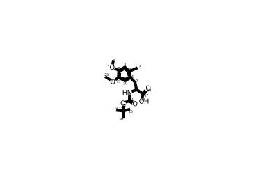 COc1cc(I)c(CC(NC(=O)OC(C)(C)C)C(=O)O)cc1OC